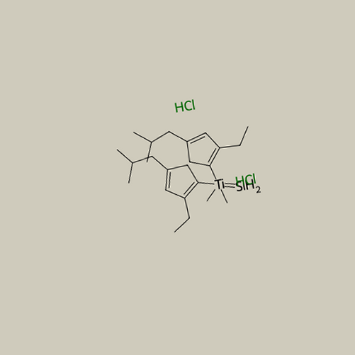 CCC1=[C]([Ti]([CH3])([CH3])(=[SiH2])[C]2=C(CC)C=C(CC(C)C)C2)CC(CC(C)C)=C1.Cl.Cl